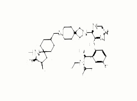 CCN(C(=O)c1cc(F)ccc1Oc1nncnc1N1CC2(CCN(CC3CCC4(CC3)CC(C)C(=O)N4)CC2)C1)C(C)C